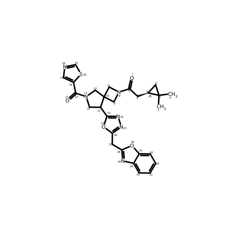 CC1(C)C[C@@H]1CC(=O)N1CC2(C1)CN(C(=O)c1cncs1)CC2c1nnc(Cc2nc3ccccc3o2)o1